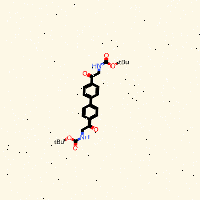 CC(C)(C)OC(=O)NCC(=O)c1ccc(-c2ccc(C(=O)CNC(=O)OC(C)(C)C)cc2)cc1